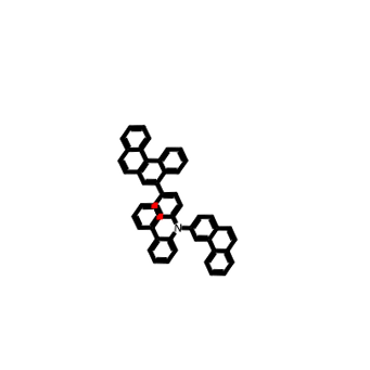 c1ccc(-c2ccccc2N(c2ccc(-c3cc4ccc5ccccc5c4c4ccccc34)cc2)c2ccc3ccc4ccccc4c3c2)cc1